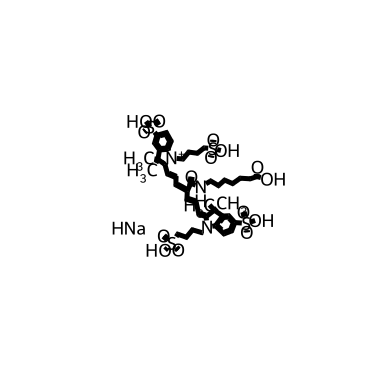 CC1(C)C(/C=C/C=C(/C=C/C=C2/N(CCCCS(=O)(=O)O)c3ccc(S(=O)(=O)O)cc3C2(C)C)C(=O)NCCCCCCC(=O)O)=[N+](CCCCS(=O)(=O)O)c2ccc(S(=O)(=O)O)cc21.[NaH]